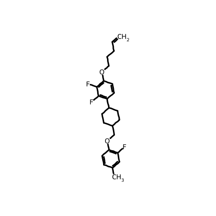 C=CCCCOc1ccc(C2CCC(COc3ccc(C)cc3F)CC2)c(F)c1F